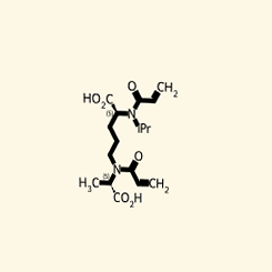 C=CC(=O)N(CCC[C@@H](C(=O)O)N(C(=O)C=C)C(C)C)[C@@H](C)C(=O)O